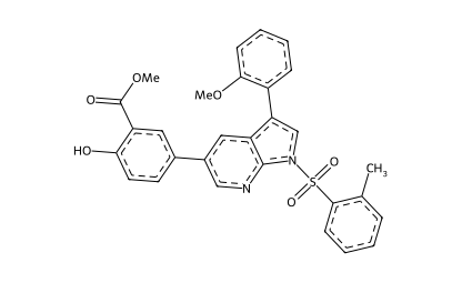 COC(=O)c1cc(-c2cnc3c(c2)c(-c2ccccc2OC)cn3S(=O)(=O)c2ccccc2C)ccc1O